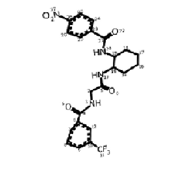 O=C(CNC(=O)c1cccc(C(F)(F)F)c1)NC1CCCCC1NC(=O)c1ccc([N+](=O)[O-])cc1